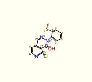 CSc1ccccc1N1N=Cc2ccnc(Cl)c2B1O